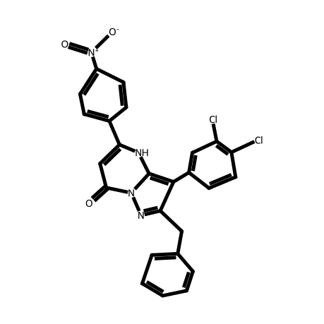 O=c1cc(-c2ccc([N+](=O)[O-])cc2)[nH]c2c(-c3ccc(Cl)c(Cl)c3)c(Cc3ccccc3)nn12